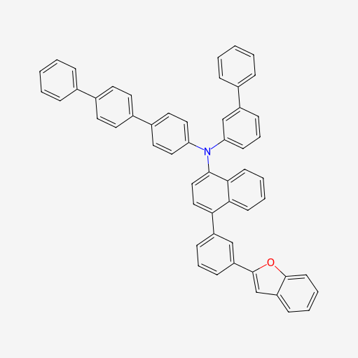 c1ccc(-c2ccc(-c3ccc(N(c4cccc(-c5ccccc5)c4)c4ccc(-c5cccc(-c6cc7ccccc7o6)c5)c5ccccc45)cc3)cc2)cc1